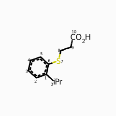 CC(C)c1ccccc1SCCC(=O)O